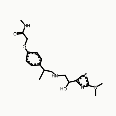 CNC(=O)COc1ccc(C(C)CNCC(O)c2csc(N(C)C)n2)cc1